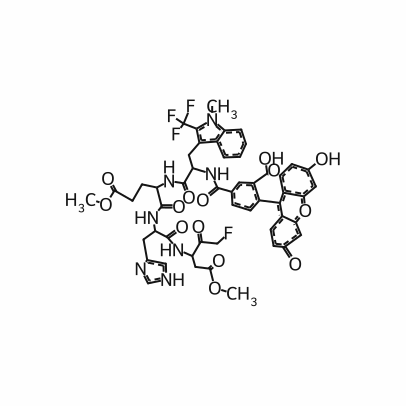 COC(=O)CCC(NC(=O)C(Cc1c(C(F)(F)F)n(C)c2ccccc12)NC(=O)c1ccc(-c2c3ccc(=O)cc-3oc3cc(O)ccc23)c(C(=O)O)c1)C(=O)NC(Cc1c[nH]cn1)C(=O)NC(CC(=O)OC)C(=O)CF